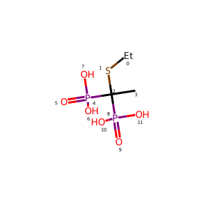 CCSC(C)(P(=O)(O)O)P(=O)(O)O